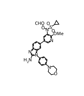 COc1ncc(-c2ccc3nc(N)n(-c4ccc(N5CCOCC5)cc4)c3c2)cc1N(OC=O)S(=O)(=O)C1CC1